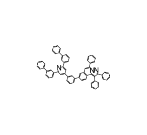 c1ccc(-c2cccc(-c3cc(-c4cccc(-c5ccc6c(c5)cc(-c5ccccc5)n5nc(-c7ccccc7)c(-c7ccccc7)c65)c4)cc(-c4cccc(-c5ccccc5)c4)n3)c2)cc1